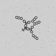 N#Cn1c2ccc(N(c3ccc(-c4ccc5cc6ccccc6cc5c4)cc3)c3ccc(-c4ccc5cc6ccccc6cc5c4)cc3)cc2c2cc(N(c3ccc(-c4ccc5cc6ccccc6cc5c4)cc3)c3ccc(-c4ccc5cc6ccccc6cc5c4)cc3)ccc21